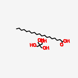 CCCCCCCCCCCCCCCCCCC(=O)O.OCC(CO)(CO)CO